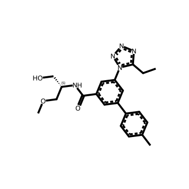 CCc1nnnn1-c1cc(C(=O)N[C@@H](CO)COC)cc(-c2ccc(C)cc2)c1